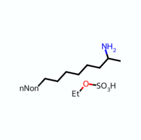 CCCCCCCCCCCCCCCC(C)N.CCOS(=O)(=O)O